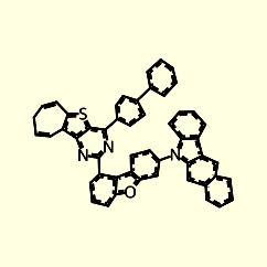 C1=Cc2sc3c(-c4ccc(-c5ccccc5)cc4)nc(-c4cccc5oc6cc(-n7c8ccccc8c8cc9ccccc9cc87)ccc6c45)nc3c2C=CC1